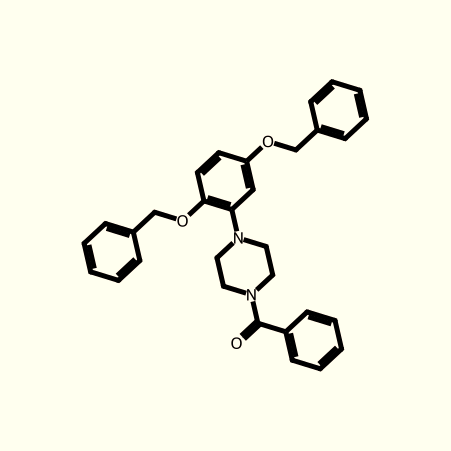 O=C(c1ccccc1)N1CCN(c2cc(OCc3ccccc3)ccc2OCc2ccccc2)CC1